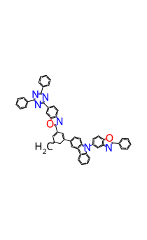 C=C1C=C(c2nc3ccc(-c4nc(-c5ccccc5)nc(-c5ccccc5)n4)cc3o2)C=C(c2ccc3c(c2)c2ccccc2n3-c2ccc3oc(-c4ccccc4)nc3c2)C1